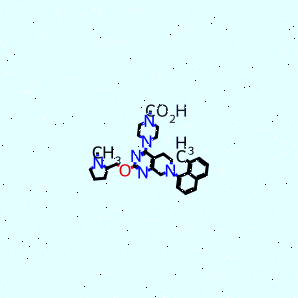 Cc1cccc2cccc(N3CCc4c(nc(OCC5CCCN5C)nc4N4CCN(C(=O)O)CC4)C3)c12